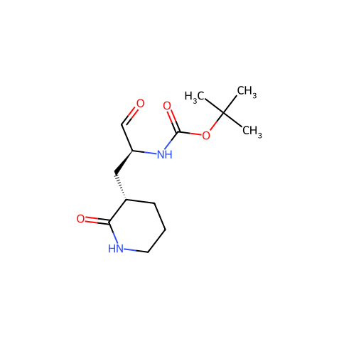 CC(C)(C)OC(=O)N[C@H](C=O)C[C@@H]1CCCNC1=O